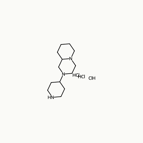 C1CCN2CCN(C3CCNCC3)CC2C1.Cl.Cl.Cl